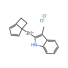 Cc1[c]([Zr+2][C]23C=CC=C2CC3)[nH]c2ccccc12.[Cl-].[Cl-]